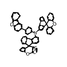 c1ccc2c(c1)Oc1ccccc1C21c2ccccc2-c2cc(N(c3ccc(-c4ccc5oc6ccccc6c5c4)cc3)c3cccc4c3-c3ccccc3C43c4ccccc4Oc4ccccc43)ccc21